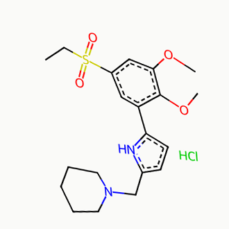 CCS(=O)(=O)c1cc(OC)c(OC)c(-c2ccc(CN3CCCCC3)[nH]2)c1.Cl